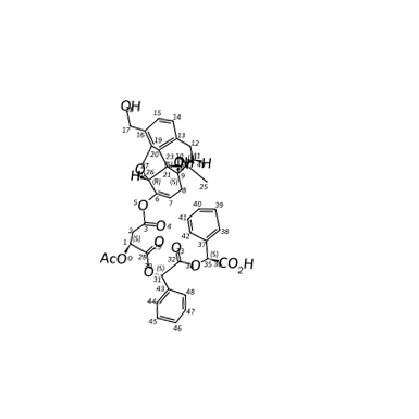 CC(=O)O[C@@H](CC(=O)OC1=CC[C@@]2(O)[C@H]3Cc4ccc(CO)c5c4[C@@]2(CCN3C)[C@H]1O5)C(=O)O[C@H](C(=O)O[C@H](C(=O)O)c1ccccc1)c1ccccc1